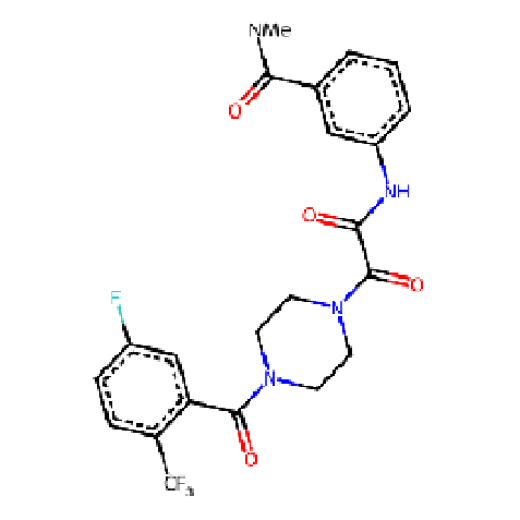 CNC(=O)c1cccc(NC(=O)C(=O)N2CCN(C(=O)c3cc(F)ccc3C(F)(F)F)CC2)c1